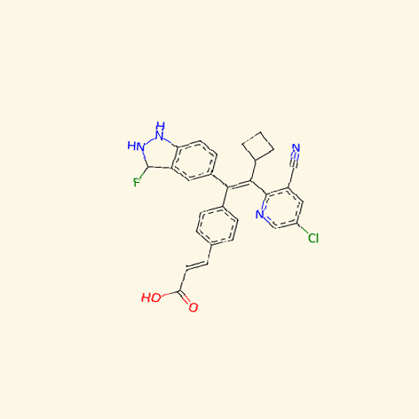 N#Cc1cc(Cl)cnc1/C(=C(\c1ccc(/C=C/C(=O)O)cc1)c1ccc2c(c1)C(F)NN2)C1CCC1